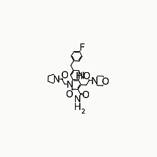 NC(=O)c1c(CC(O)N2CCOCC2)c2ncc(Cc3ccc(F)cc3)cc2n(CC(=O)N2CCCC2)c1=O